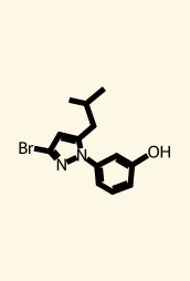 CC(C)Cc1cc(Br)nn1-c1cccc(O)c1